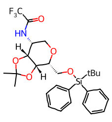 CC1(C)O[C@@H]2[C@H](O1)[C@H](NC(=O)C(F)(F)F)CO[C@@H]2CO[Si](c1ccccc1)(c1ccccc1)C(C)(C)C